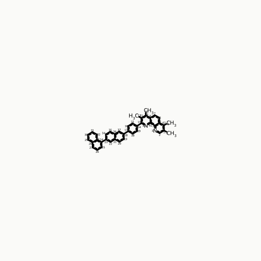 Cc1cnc2c(ccc3c(C)c(C)c(-c4ccc(-c5ccc6cc(-c7cccc8ccccc78)ccc6c5)cc4)nc32)c1C